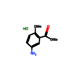 COC(=O)c1cc(N)ccc1OC.Cl